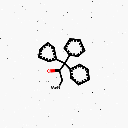 CNCC(=O)C(c1ccccc1)(c1ccccc1)c1ccccc1